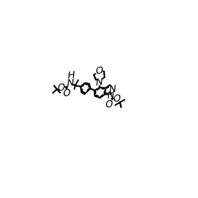 CC(C)(C)OC(=O)NC(C)(C)c1ccc(-c2ccc3c(cnn3C(=O)OC(C)(C)C)c2N2CCOCC2)cc1